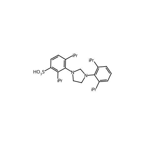 CC(C)c1cccc(C(C)C)c1N1CCN(c2c(C(C)C)ccc(S(=O)(=O)O)c2C(C)C)C1